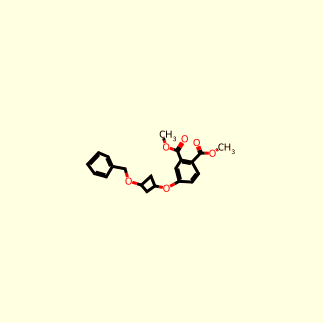 COC(=O)c1ccc(OC2CC(OCc3ccccc3)C2)cc1C(=O)OC